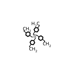 C=Cc1ccc([CH2][Ti]([CH2]c2ccc(C=C)cc2)([CH2]c2ccc(C=C)cc2)[CH2]c2ccc(C=C)cc2)cc1